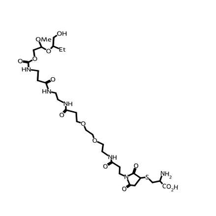 CCC(CO)OC(COC(=O)NCCC(=O)NCCNC(=O)CCOCCOCCNC(=O)CCN1C(=O)CC(SCC(N)C(=O)O)C1=O)OC